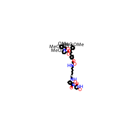 CC[C@H](C(=O)N1CCCC[C@H]1C(=O)OC(CCc1ccc(OC)c(OC)c1)c1ccc(OCC(=O)NCCCCCCCCNc2cccc3c2C(=O)N(C2CCC(=O)NC2=O)C3=O)cc1)c1cc(OC)c(OC)c(OC)c1